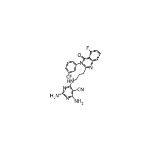 N#Cc1c(N)nc(N)nc1NCCCc1nc2cccc(F)c2c(=O)n1-c1cccc(C(F)(F)F)c1